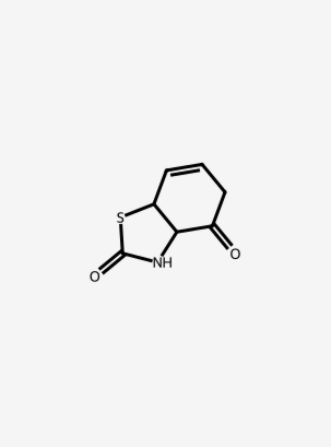 O=C1NC2C(=O)CC=CC2S1